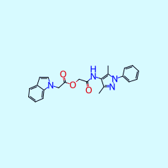 Cc1nn(-c2ccccc2)c(C)c1NC(=O)COC(=O)Cn1ccc2ccccc21